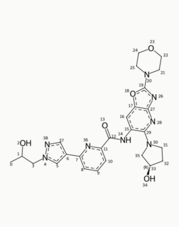 CC(O)Cn1cc(-c2cccc(C(=O)Nc3cc4oc(N5CCOCC5)nc4nc3N3CC[C@@H](O)C3)n2)cn1